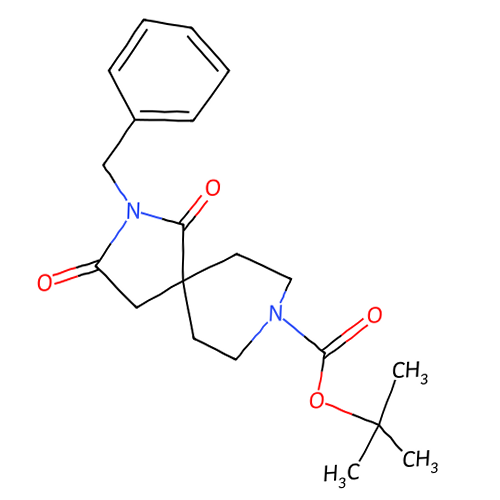 CC(C)(C)OC(=O)N1CCC2(CC1)CC(=O)N(Cc1ccccc1)C2=O